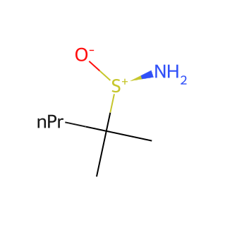 CCCC(C)(C)[S@+](N)[O-]